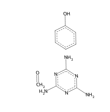 C=O.Nc1nc(N)nc(N)n1.Oc1ccccc1